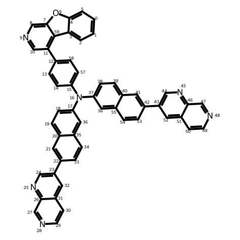 c1ccc2c(c1)oc1cncc(-c3ccc(N(c4ccc5cc(-c6cnc7cnccc7c6)ccc5c4)c4ccc5cc(-c6cnc7cnccc7c6)ccc5c4)cc3)c12